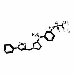 CC(C)S(=O)(=O)Nc1cccc(N(C)C2CCN(Cc3cn(-c4ccccc4)nn3)C2)c1